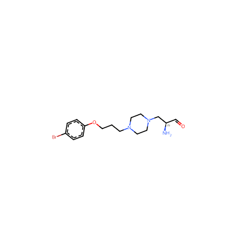 N[C@H](C=O)CN1CCN(CCCOc2ccc(Br)cc2)CC1